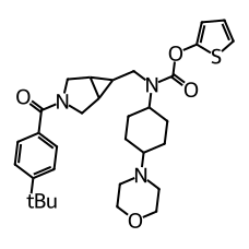 CC(C)(C)c1ccc(C(=O)N2CC3C(C2)C3CN(C(=O)Oc2cccs2)C2CCC(N3CCOCC3)CC2)cc1